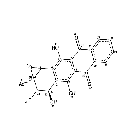 CC(=O)[C@]12OC1c1c(O)c3c(c(O)c1[C@@H](O)C2F)C(=O)c1ccccc1C3=O